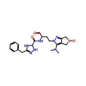 CN(C)c1c2c(nn1CCC(C=O)NC(=O)C1NN=C(Cc3ccccc3)N1)C[S+]([O-])C2